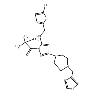 CC(C)(C)C(=O)n1nc(C2CCN(Cc3cocn3)CC2)cc1NCc1ccc(Cl)s1